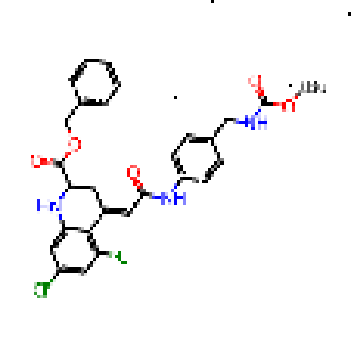 CC(C)(C)OC(=O)NCc1ccc(NC(=O)/C=C2\CC(C(=O)OCc3ccccc3)Nc3cc(Cl)cc(Cl)c32)cc1